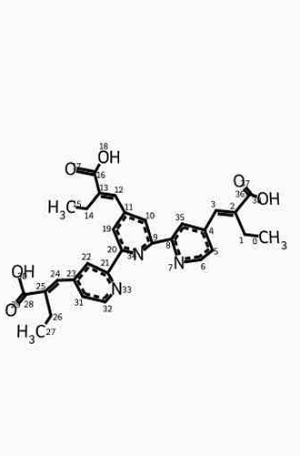 CC/C(=C\c1ccnc(-c2cc(/C=C(\CC)C(=O)O)cc(-c3cc(/C=C(\CC)C(=O)O)ccn3)n2)c1)C(=O)O